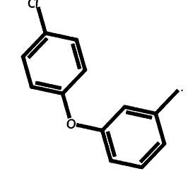 [CH2]c1cccc(Oc2ccc(Cl)cc2)c1